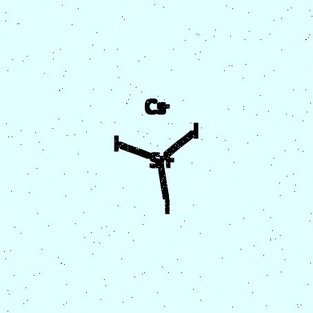 [Cs].[I][Sn]([I])[I]